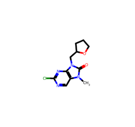 Cn1c(=O)n(CC2CCCO2)c2nc(Cl)ncc21